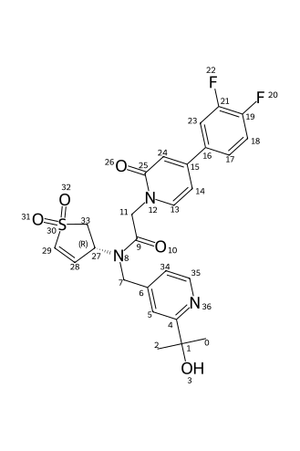 CC(C)(O)c1cc(CN(C(=O)Cn2ccc(-c3ccc(F)c(F)c3)cc2=O)[C@@H]2C=CS(=O)(=O)C2)ccn1